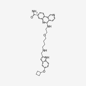 NC(=O)c1ccc2c(c1)nc(NCCOCCCCNCc1cc3cc(OC4CCC4)ccc3[nH]1)c1ccncc12